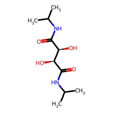 CC(C)NC(=O)[C@@H](O)[C@H](O)C(=O)NC(C)C